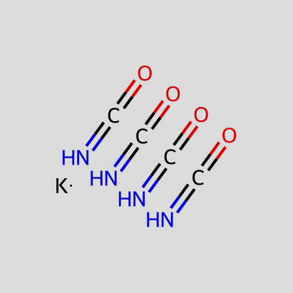 N=C=O.N=C=O.N=C=O.N=C=O.[K]